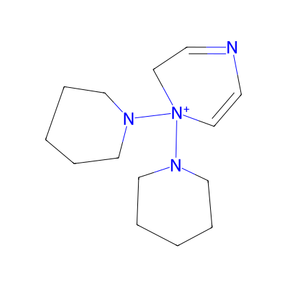 C1=C[N+](N2CCCCC2)(N2CCCCC2)CC=N1